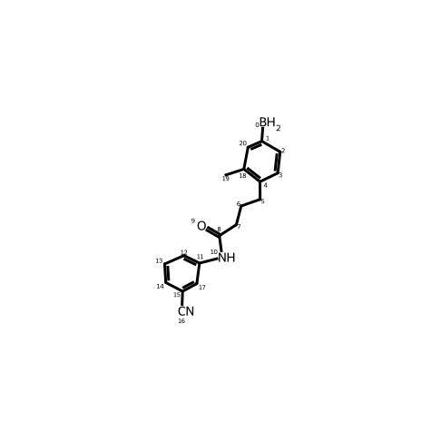 Bc1ccc(CCCC(=O)Nc2cccc(C#N)c2)c(C)c1